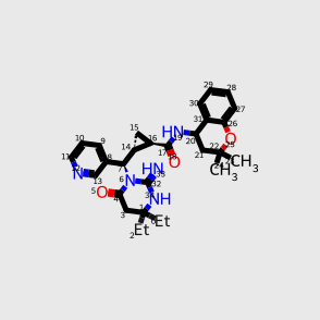 CCC1(CC)CC(=O)N([C@H](c2cccnc2)[C@@H]2C[C@H]2C(=O)NC2CC(C)(C)Oc3ccccc32)C(=N)N1